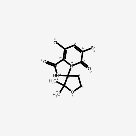 CC1(C)OCCC12NC(=O)c1c(Cl)cc(Br)c(=O)n12